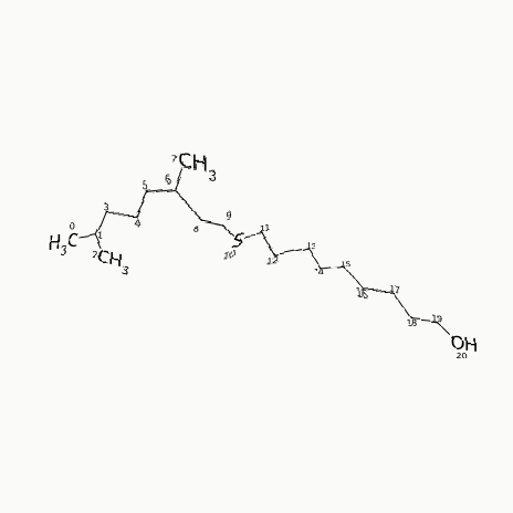 CC(C)CCCC(C)CCSCCCCCCCCCO